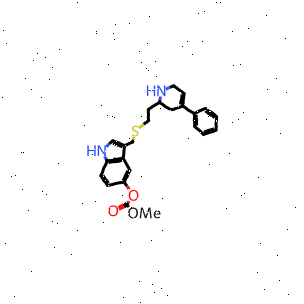 COC(=O)Oc1ccc2[nH]cc(CSCCC3CC(c4ccccc4)=CCN3)c2c1